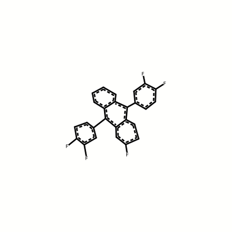 Fc1ccc2c(-c3ccc(F)c(F)c3)c3ccccc3c(-c3ccc(F)c(F)c3)c2c1